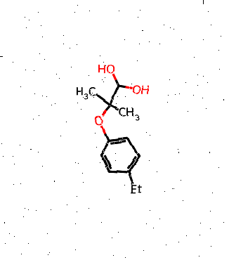 CCc1ccc(OC(C)(C)C(O)O)cc1